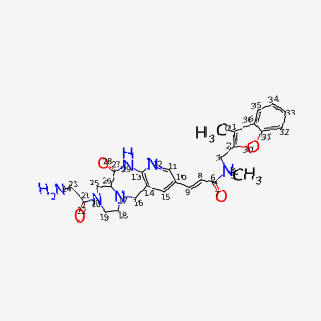 Cc1c(CN(C)C(=O)/C=C/c2cnc3c(c2)CN2CCN(C(=O)CN)CC2C(=O)N3)oc2ccccc12